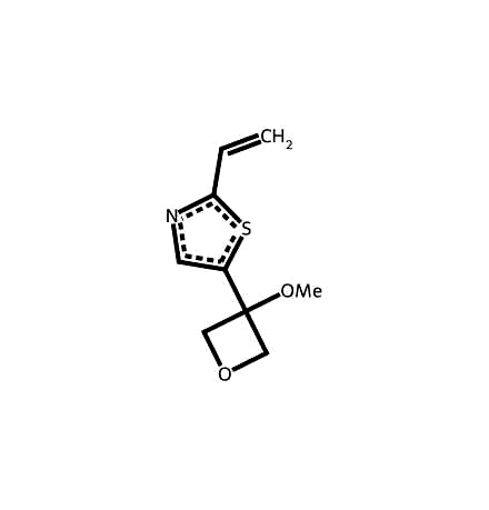 C=Cc1ncc(C2(OC)COC2)s1